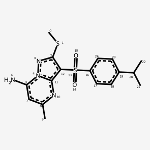 CSc1nn2c(N)cc(C)nc2c1S(=O)(=O)c1ccc(C(C)C)cc1